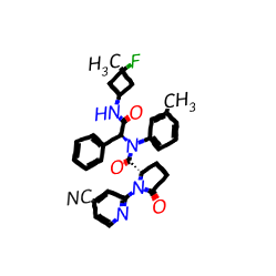 Cc1cccc(N(C(=O)[C@@H]2CCC(=O)N2c2cc(C#N)ccn2)[C@H](C(=O)NC2CC(C)(F)C2)c2ccccc2)c1